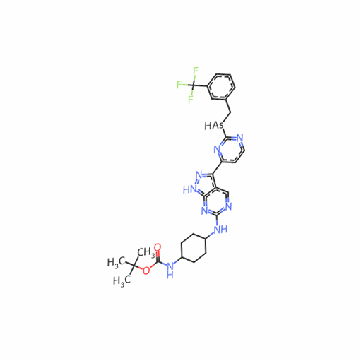 CC(C)(C)OC(=O)NC1CCC(Nc2ncc3c(-c4ccnc([AsH]Cc5cccc(C(F)(F)F)c5)n4)n[nH]c3n2)CC1